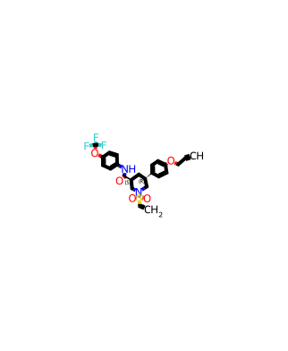 C#CCOc1ccc([C@H]2C[C@H](C(=O)Nc3ccc(OC(F)(F)F)cc3)CN(S(=O)(=O)C=C)C2)cc1